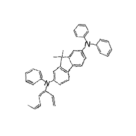 C=C/C(=C\C=C/C)N(c1ccccc1)c1ccc2c(c1)C(C)(C)c1cc(N(c3ccccc3)c3ccccc3)ccc1-2